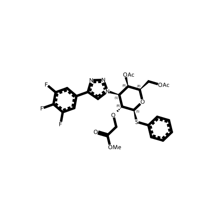 COC(=O)CO[C@@H]1[C@@H](n2cc(-c3cc(F)c(F)c(F)c3)nn2)[C@@H](OC(C)=O)[C@@H](COC(C)=O)O[C@H]1Sc1ccccc1